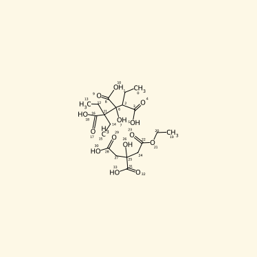 CCC(C(=O)O)C(O)(C(=O)O)C(CC)(CC)C(=O)O.CCOC(=O)CC(O)(CC(=O)O)C(=O)O